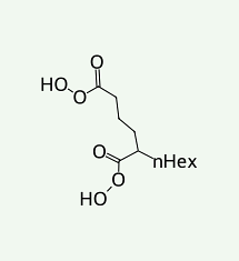 CCCCCCC(CCCC(=O)OO)C(=O)OO